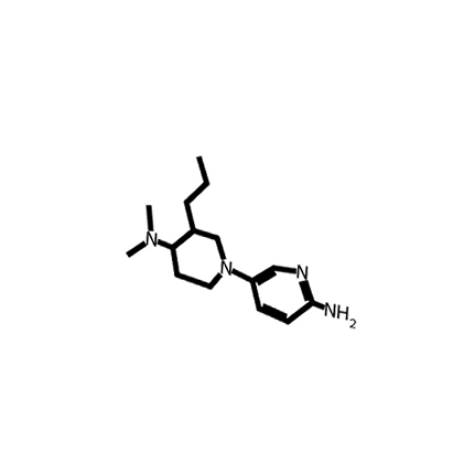 CCCC1CN(c2ccc(N)nc2)CCC1N(C)C